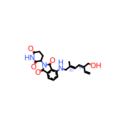 C=C/C(=C\C=C(/C)CNc1cccc2c1C(=O)N(C1CCC(=O)NC1=O)C2=O)CO